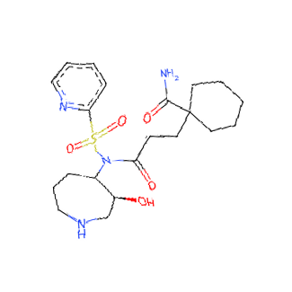 NC(=O)C1(C[CH]C(=O)N(C2CCCNC[C@@H]2O)S(=O)(=O)c2ccccn2)CCCCC1